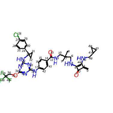 C=C1C(=O)C(NCC(C)(C)CNC(=O)c2ccc(Nc3nc(NC4(c5ccc(Cl)cc5)CC4)nc(OCC(F)(F)F)n3)cc2)=C1NCC1CC1